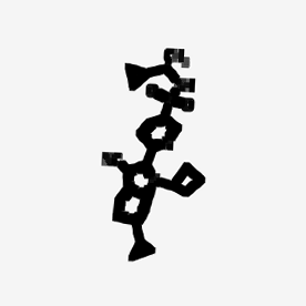 C[C@H](NS(=O)(=O)c1ccc(-c2c(C#N)c3ccc(C4CC4)cc3n2C2CCC2)nc1)C1CC1